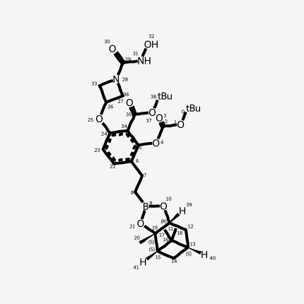 CC(C)(C)OC(=O)Oc1c(CCB2O[C@@H]3C[C@@H]4C[C@@H](C4(C)C)[C@]3(C)O2)ccc(OC2CN(C(=O)NO)C2)c1C(=O)OC(C)(C)C